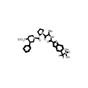 CCOC(=O)C1CCN(C(=O)[C@@H]2CCCN2C(=O)C(NC(=O)c2cc3cc(C(F)(F)P(=O)(O)O)ccc3s2)C(C)(C)C)CC1c1ccccc1